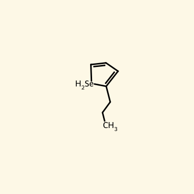 CCCC1=CC=C[SeH2]1